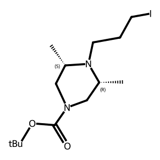 C[C@@H]1CN(C(=O)OC(C)(C)C)C[C@H](C)N1CCCI